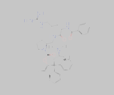 C/C=C(\OC(=O)N1CCCC1CNC(=O)C(CCCNC(=N)N)NC(=O)c1ccccc1)C(CC(C)N(C)C)(c1ccccc1)c1ccccc1